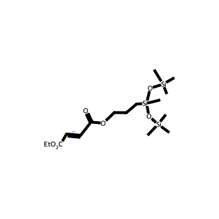 CCOC(=O)/C=C/C(=O)OCCC[Si](C)(O[Si](C)(C)C)O[Si](C)(C)C